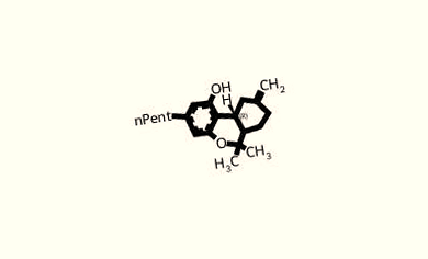 C=C1CCC2[C@@H](C1)c1c(O)cc(CCCCC)cc1OC2(C)C